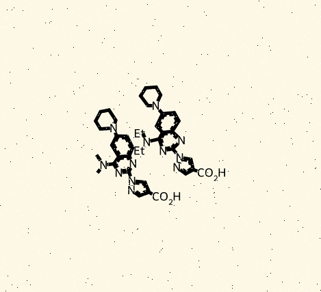 CCN(CC)c1nc(-n2cc(C(=O)O)cn2)nc2ccc(N3CCCCC3)cc12.CN(C)c1nc(-n2cc(C(=O)O)cn2)nc2ccc(N3CCCCC3)cc12